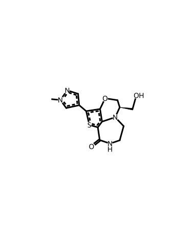 Cn1cc(-c2sc3c4c2OC[C@@H](CO)N4CCNC3=O)cn1